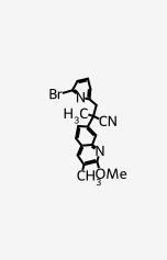 COc1nc2cc(C(C)(C#N)Cc3cccc(Br)n3)ccc2cc1C